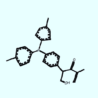 C=C(C)C(=O)C(CO)c1ccc(N(c2ccc(C)cc2)c2ccc(C)cc2)cc1